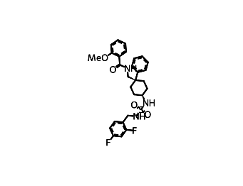 COc1ccccc1C(=O)NC[C@]1(c2ccccc2)CC[C@H](NS(=O)(=O)NCc2ccc(F)cc2F)CC1